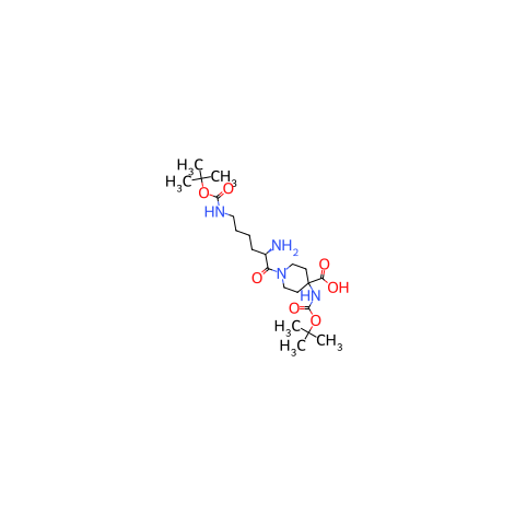 CC(C)(C)OC(=O)NCCCC[C@@H](N)C(=O)N1CCC(NC(=O)OC(C)(C)C)(C(=O)O)CC1